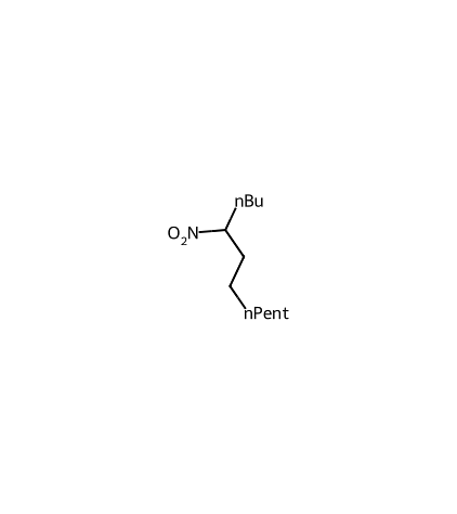 CCCCCCCC(CCCC)[N+](=O)[O-]